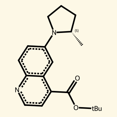 C[C@H]1CCCN1c1ccc2nccc(C(=O)OC(C)(C)C)c2c1